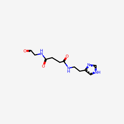 O=[C]CNC(=O)CCC(=O)NCCc1c[nH]cn1